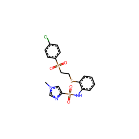 Cn1cnc(S(=O)(=O)Nc2ccccc2SCCS(=O)(=O)c2ccc(Cl)cc2)c1